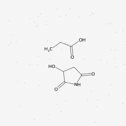 CCC(=O)O.O=C1CC(O)C(=O)N1